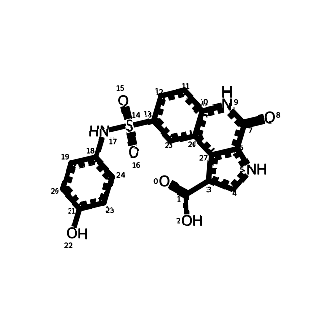 O=C(O)c1c[nH]c2c(=O)[nH]c3ccc(S(=O)(=O)Nc4ccc(O)cc4)cc3c12